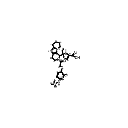 CCC1(C2c3c(nc4n3CCCC4)CCN2C(=O)COc2ccc(NS(C)(=O)=O)nc2Cl)NC(C(=O)O)=CS1